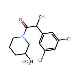 CC(C(=O)N1CCCC(C(=O)O)C1)c1cc(Cl)cc(Cl)c1